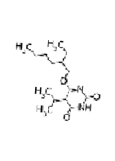 CCCCC(CC)COC1=NC(=O)NC(=O)C1=C(C)C